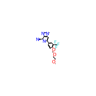 COCCOCOc1ccc(-c2cc3c(ncn3C)c(C#N)n2)cc1C(F)(F)F